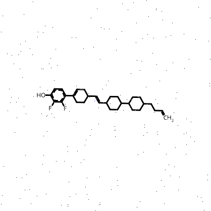 C=CCCC1CCC(C2CCC(/C=C/C3CC=C(c4ccc(O)c(F)c4F)CC3)CC2)CC1